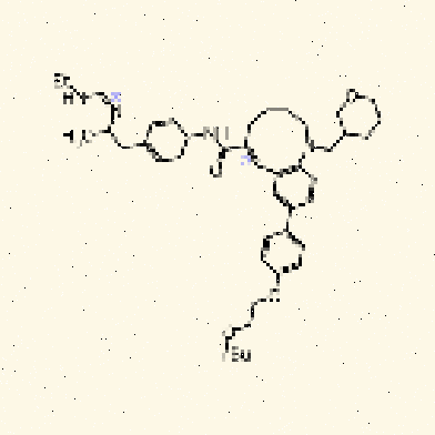 CCCCOCCOc1ccc(-c2ccc3c(c2)/C=C(/C(=O)NC2C=CC(CC(C)/N=C\NCC)=CC2)CCCCN3CC2CCCOC2)cc1